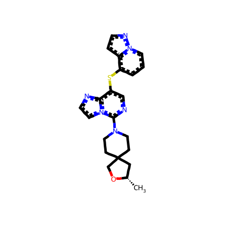 C[C@H]1CC2(CCN(c3ncc(Sc4cccn5nccc45)c4nccn34)CC2)CO1